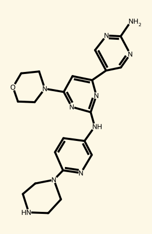 Nc1ncc(-c2cc(N3CCOCC3)nc(Nc3ccc(N4CCNCC4)nc3)n2)cn1